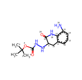 CC(C)(C)OC(=O)NNC1Cc2cccc(N)c2NC1=O